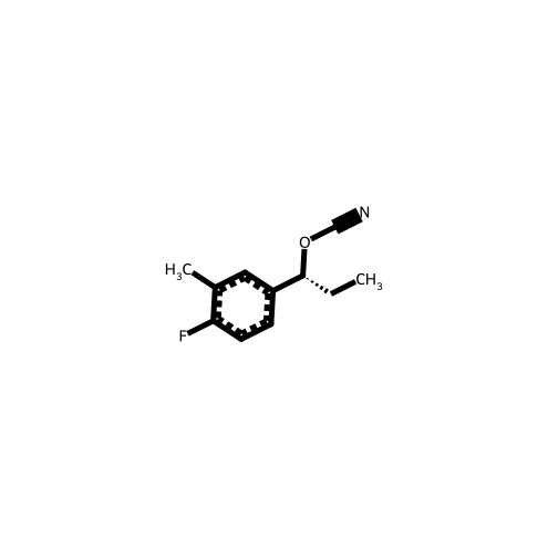 CC[C@@H](OC#N)c1ccc(F)c(C)c1